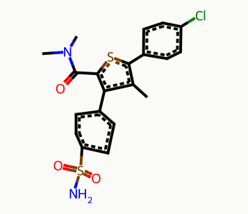 Cc1c(-c2ccc(Cl)cc2)sc(C(=O)N(C)C)c1-c1ccc(S(N)(=O)=O)cc1